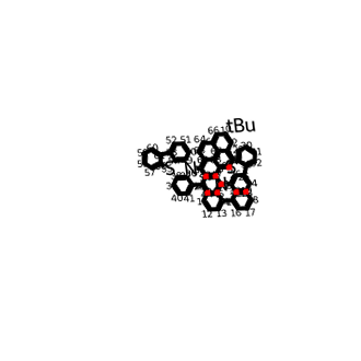 CC(C)(C)c1cc2ccc3c(N(c4ccccc4-c4ccccc4)c4cccc5c4sc4ccccc45)cc(N(c4ccccc4-c4ccccc4)c4cccc5c4sc4ccccc45)c4ccc(c1)c2c34